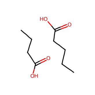 CCCC(=O)O.CCCCC(=O)O